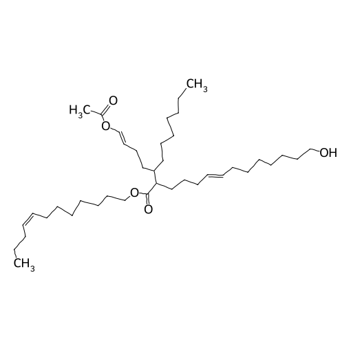 CCC/C=C\CCCCCCCOC(=O)C(CCCC=CCCCCCCCO)C(CCC=COC(C)=O)CCCCCCC